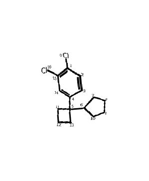 Clc1ccc(C2(C3CCCC3)CCC2)cc1Cl